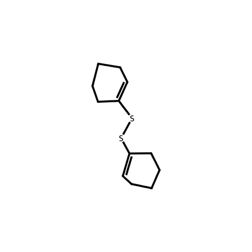 C1=C(SSC2=CCCCC2)CCCC1